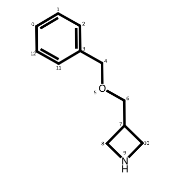 c1ccc(COCC2CNC2)cc1